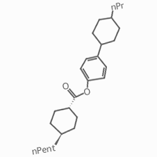 CCCCC[C@H]1CC[C@H](C(=O)Oc2ccc(C3CCC(CCC)CC3)cc2)CC1